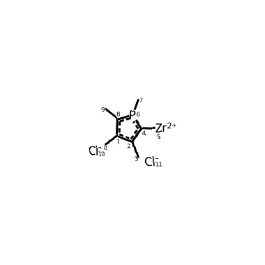 Cc1c(C)[c]([Zr+2])p(C)c1C.[Cl-].[Cl-]